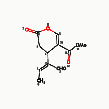 C/C=C(\C=O)[C@@H]1CC(=O)OC=C1C(=O)OC